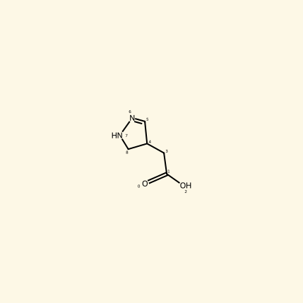 O=C(O)CC1C=NNC1